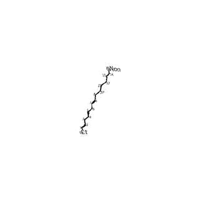 CCC=CCC=CCC=CCCCCCCCCCCCCCCC